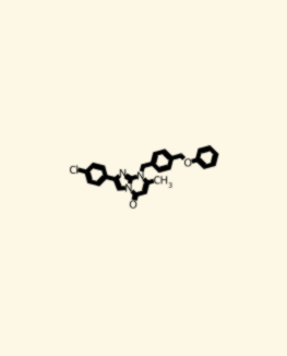 Cc1cc(=O)n2cc(-c3ccc(Cl)cc3)nc2n1Cc1ccc(COc2ccccc2)cc1